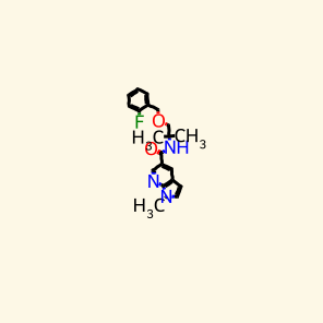 Cn1ccc2cc(C(=O)NC(C)(C)COCc3ccccc3F)cnc21